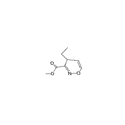 CCC1C=CON=C1C(=O)OC